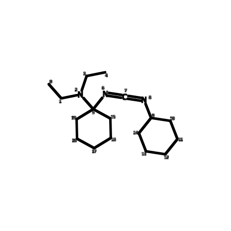 CCN(CC)C1(N=C=NC2CCCCC2)CCCCC1